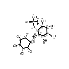 Cl[C@H]1[C@H](Cl)[C@@H](Cl)[C@@H](Cl)[C@H](Cl)[C@H]1Cl.O=P(O)(O)O[C@@H]1[C@@H](O)[C@H](O)[C@@H](O)[C@H](O)[C@@H]1O